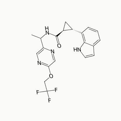 CC(NC(=O)[C@H]1C[C@@H]1c1cccc2cc[nH]c12)c1cnc(OCC(F)(F)F)cn1